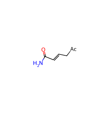 CC(=O)CC=CC(N)=O